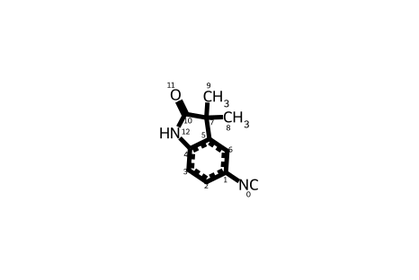 [C-]#[N+]c1ccc2c(c1)C(C)(C)C(=O)N2